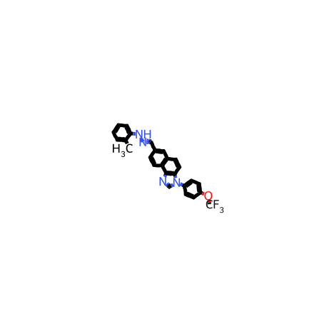 Cc1ccccc1N/N=C/c1ccc2c(ccc3c2ncn3-c2ccc(OC(F)(F)F)cc2)c1